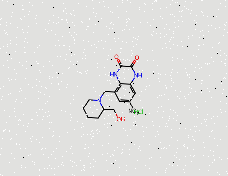 Cl.O=c1[nH]c2cc([N+](=O)[O-])cc(CN3CCCCC3CO)c2[nH]c1=O